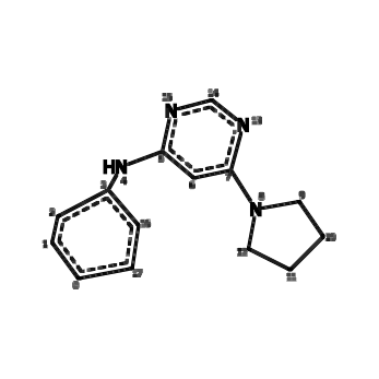 c1ccc(Nc2cc(N3CCCC3)ncn2)cc1